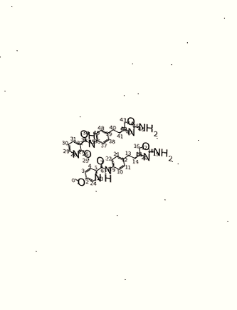 COc1ccc(C(=O)Nc2ccc(CC[C@H]3COC(N)=N3)cc2)nc1.COc1ncccc1C(=O)Nc1ccc(CC[C@H]2COC(N)=N2)cc1